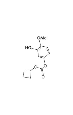 COc1ccc(OC(=O)OC2CCC2)cc1O